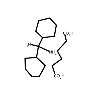 NC(N)(C1CCCCC1)C1CCCCC1.O=C(O)CCCCC(=O)O